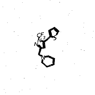 FC(F)(F)n1nc(CN2CCCCC2)cc1-c1cccs1